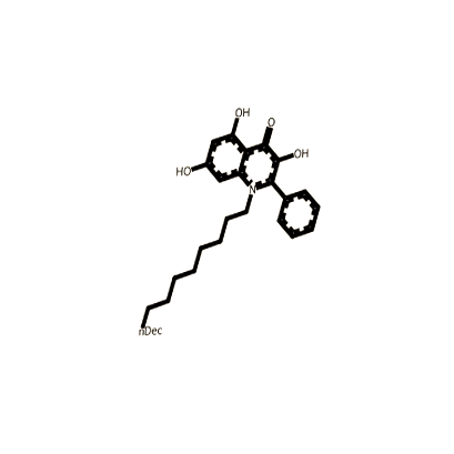 CCCCCCCCCCCCCCCCCCn1c(-c2ccccc2)c(O)c(=O)c2c(O)cc(O)cc21